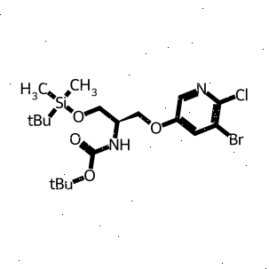 CC(C)(C)OC(=O)N[C@H](COc1cnc(Cl)c(Br)c1)CO[Si](C)(C)C(C)(C)C